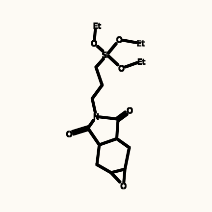 CCO[Si](CCCN1C(=O)C2CC3OC3CC2C1=O)(OCC)OCC